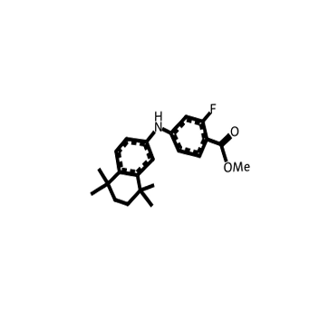 COC(=O)c1ccc(Nc2ccc3c(c2)C(C)(C)CCC3(C)C)cc1F